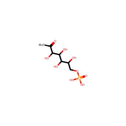 CC(C)COC(=O)C(O)C(O)C(O)C(O)COP(=O)(O)O